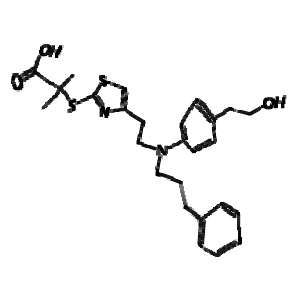 CC(C)(Sc1nc(CCN(CCCc2ccccc2)c2ccc(CCO)cc2)cs1)C(=O)O